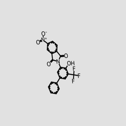 O=C1c2ccc([N+](=O)[O-])cc2C(=O)N1c1cc(-c2ccccc2)cc(C(F)(F)F)c1O